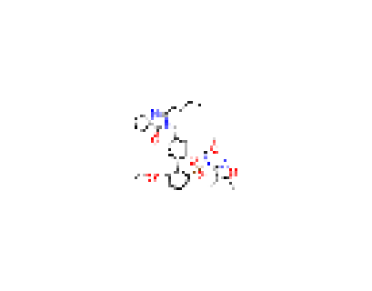 CCCCC1=NC2(CCCC2)C(=O)N1Cc1ccc(-c2c(COCC)cccc2S(=O)(=O)N(COC)c2noc(C)c2C)cc1